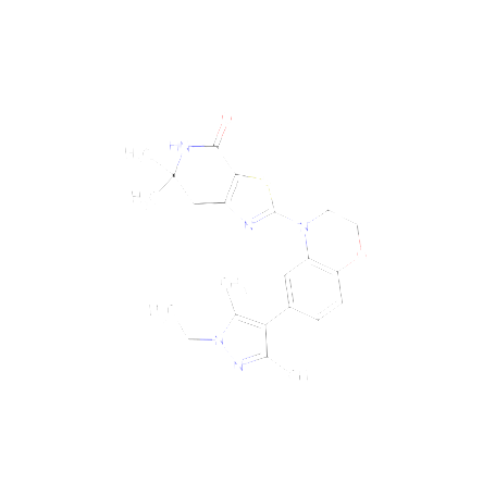 CCn1nc(C)c(-c2ccc3c(c2)N(c2nc4c(s2)C(=O)NC(C)(C)C4)CCO3)c1C